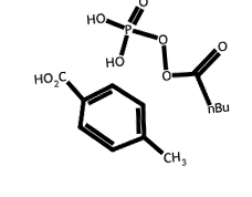 CCCCC(=O)OOP(=O)(O)O.Cc1ccc(C(=O)O)cc1